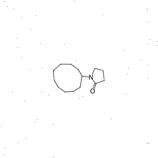 O=C1CCCN1C1CCCCCCCCC1